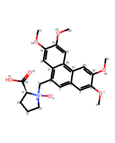 COc1cc2cc(C[N+]3([O-])CCC[C@H]3C(=O)O)c3cc(OC)c(OC)cc3c2cc1OC